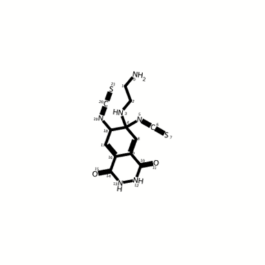 NCCNC1(N=C=S)C=c2c(=O)[nH][nH]c(=O)c2=CC1N=C=S